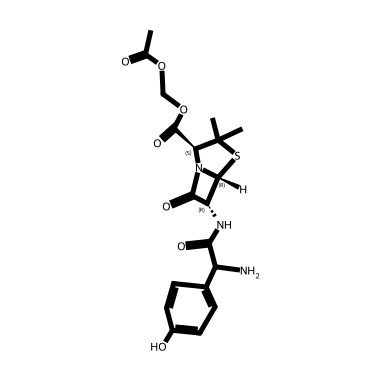 CC(=O)OCOC(=O)[C@@H]1N2C(=O)[C@@H](NC(=O)C(N)c3ccc(O)cc3)[C@H]2SC1(C)C